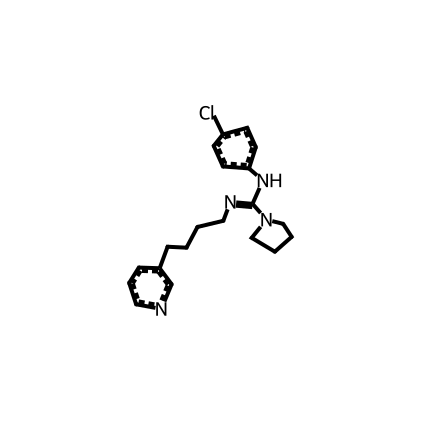 Clc1ccc(NC(=NCCCCc2cccnc2)N2CCCC2)cc1